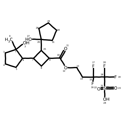 CC1(O)CCCC1C1CC(C(=O)OCCC(F)(F)C(F)(F)S(=O)(=O)O)C1C1(O)CCCC1